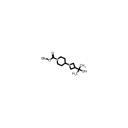 CC(C)(C)OC(=O)N1CCC(N2CC(C(C)(C)O)C2)CC1